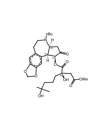 CCCCN1CCc2cc3c(cc2[C@@H]2[C@H](OC(=O)[C@@](O)(CCCC(C)(C)O)CC(=O)OC)C(=O)C[C@@H]21)OCO3